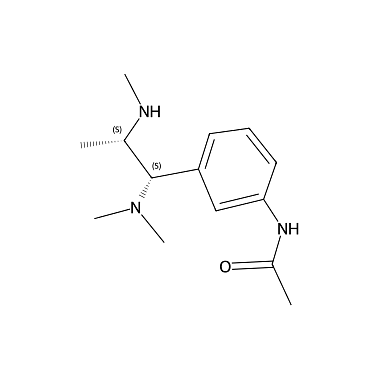 CN[C@@H](C)[C@H](c1cccc(NC(C)=O)c1)N(C)C